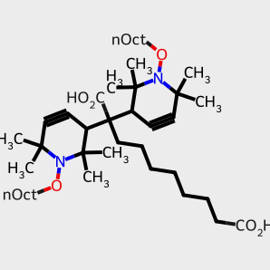 CCCCCCCCON1C(C)(C)C#CC(C(CCCCCCCC(=O)O)(C(=O)O)C2C#CC(C)(C)N(OCCCCCCCC)C2(C)C)C1(C)C